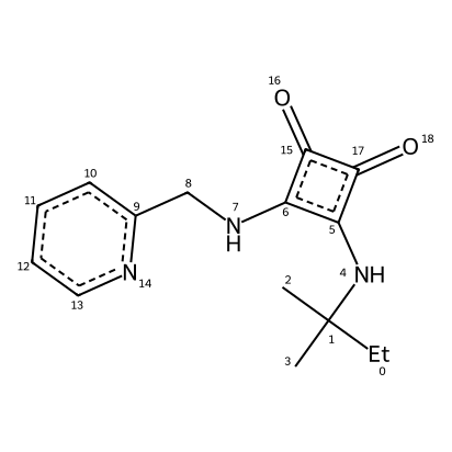 CCC(C)(C)Nc1c(NCc2ccccn2)c(=O)c1=O